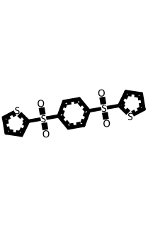 O=S(=O)(c1ccc(S(=O)(=O)c2cccs2)cc1)c1cccs1